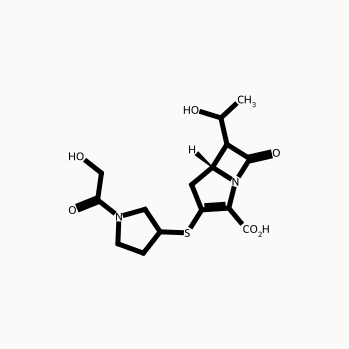 CC(O)C1C(=O)N2C(C(=O)O)=C(SC3CCN(C(=O)CO)C3)C[C@H]12